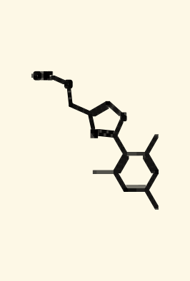 Cc1cc(C)c(-c2nc(CO[C]=O)cs2)c(C)c1